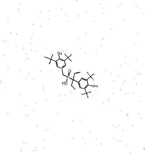 CCC(CC)(c1cc(C(C)(C)C)c(O)c(C(C)(C)C)c1)P(=O)(O)Cc1cc(C(C)(C)C)c(O)c(C(C)(C)C)c1